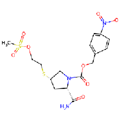 CS(=O)(=O)OCCS[C@H]1C[C@@H](C(N)=O)N(C(=O)OCc2ccc([N+](=O)[O-])cc2)C1